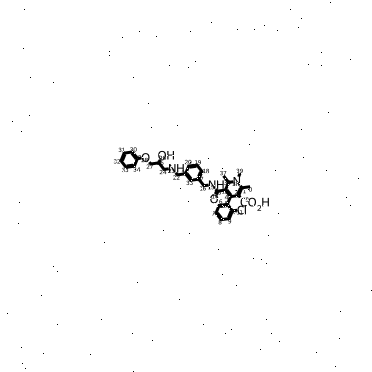 CC1=C(C(=O)O)C(c2ccccc2Cl)=C(C(=O)NCc2cccc(CNCC(O)COc3ccccc3)c2)C(C)N1C